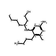 CCCC[C@@H](CCO)Nc1nc(N)nc(C)c1CCCN